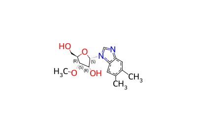 CO[C@H]1[C@@H](O)[C@@H](n2cnc3cc(C)c(C)cc32)O[C@@H]1CO